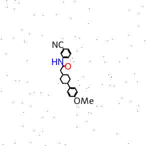 COc1ccc(C2CCC(CC(=O)Nc3cccc(C#N)c3)CC2)cc1